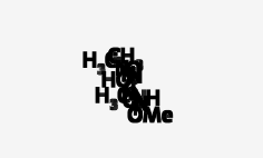 COc1ccc(Nc2cc(-c3ccnc(N4CCn5c(cc6c5CC(C)(C)C6)C4=O)c3CO)cn(C)c2=O)nc1